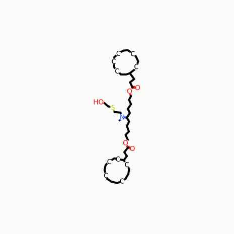 CN(CCSCCO)C(CCCCCOC(=O)CCC1CCCCCCCCCCCCCC1)CCCCCOC(=O)CCC1CCCCCCCCCCCCCC1